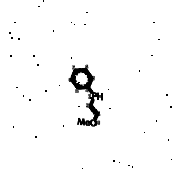 COC=CPc1ccccc1